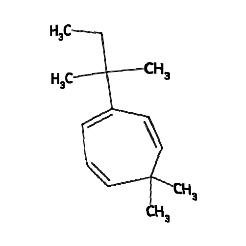 CCC(C)(C)C1=CC=CC(C)(C)C=C1